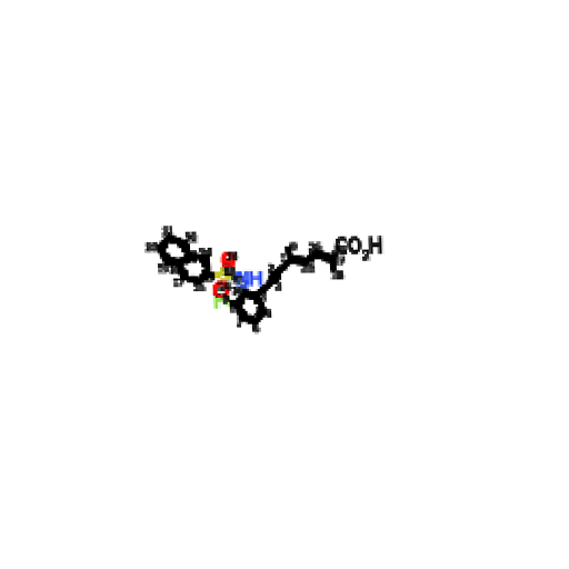 C/C(C#Cc1cccc(F)c1NS(=O)(=O)c1ccc2ccccc2c1)=C\C=C(/C)C(=O)O